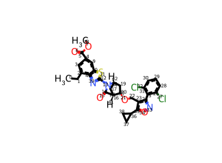 CCc1cc(C(=O)OC)cc2sc(N3C(=O)[C@@H]4C[C@H]3C[C@H]4OCc3c(-c4c(Cl)cccc4Cl)noc3C3CC3)nc12